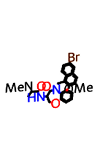 CNC(C)C(=O)NC1COc2ccccc2N(Cc2c(OC)ccc3cc(Br)ccc23)C1=O